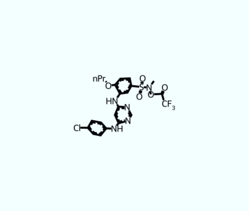 CCCOc1ccc(S(=O)(=O)N(C)OC(=O)C(F)(F)F)cc1Nc1cc(Nc2ccc(Cl)cc2)ncn1